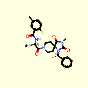 Cc1ccc(F)c(C(=O)N[C@@H](C(=O)N2CCC3(CC2)C(=O)N(C)C(=O)N3[C@@H](C)c2ccccc2)C(C)C)c1